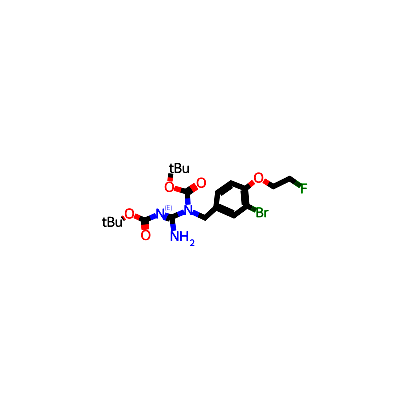 CC(C)(C)OC(=O)/N=C(\N)N(Cc1ccc(OCCF)c(Br)c1)C(=O)OC(C)(C)C